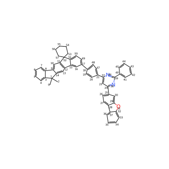 CC1(C)c2ccccc2-c2cc3c(cc21)-c1cc(-c2ccc(-c4cc(-c5ccc6c(c5)oc5ccccc56)nc(-c5ccccc5)n4)cc2)ccc1C31CCCCC1